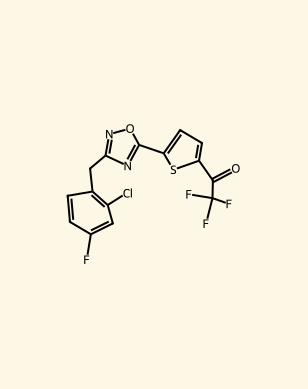 O=C(c1ccc(-c2nc(Cc3ccc(F)cc3Cl)no2)s1)C(F)(F)F